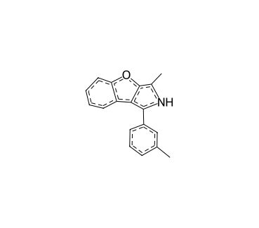 Cc1cccc(-c2[nH]c(C)c3oc4ccccc4c23)c1